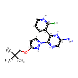 CC(C)(COc1ccn(-c2ncc(N)nc2-c2cccnc2F)n1)C(F)(F)F